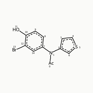 CC(=O)N(c1ccsc1)c1ccc(O)c(Br)c1